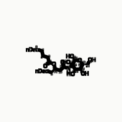 CCCCCCCCCCCCCC(=O)O[C@H](CCCCCCCCCCC)CC(=O)N[C@]1(O)[C@H](O)O[C@H](CO)[C@@H](O)[C@@H]1O